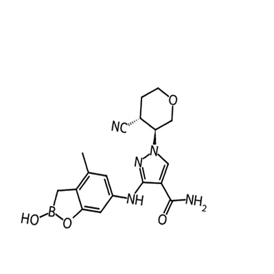 Cc1cc(Nc2nn([C@@H]3COCC[C@H]3C#N)cc2C(N)=O)cc2c1CB(O)O2